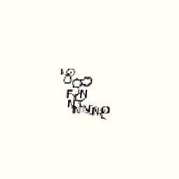 C=CC(=O)Oc1cc(-c2ncc3c(N4CCN(C(=O)C=C)CC4)ncnc3c2F)c2ccccc2c1